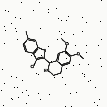 COc1cc2c(cc1OC)C(c1sc3cc(C)ccc3c1Cl)NCC2